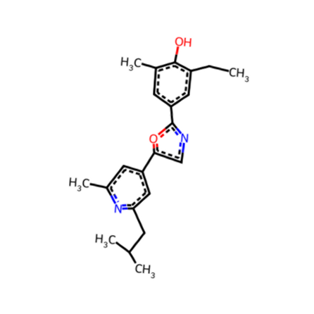 CCc1cc(-c2ncc(-c3cc(C)nc(CC(C)C)c3)o2)cc(C)c1O